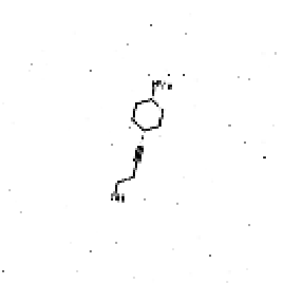 CN[C@H]1CC[C@H](C#CCCO)CC1